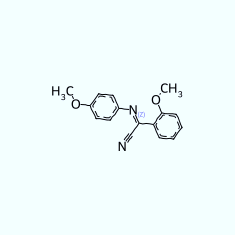 COc1ccc(/N=C(\C#N)c2ccccc2OC)cc1